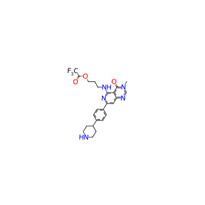 Cn1cnc2cc(-c3ccc(C4CCNCC4)cc3)nc(NCCCOC(=O)C(F)(F)F)c2c1=O